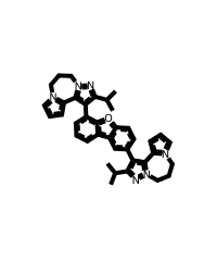 CC(C)c1nn2c(c1-c1ccc3oc4c(-c5c(C(C)C)nn6c5-c5cccn5CCC6)cccc4c3c1)-c1cccn1CCC2